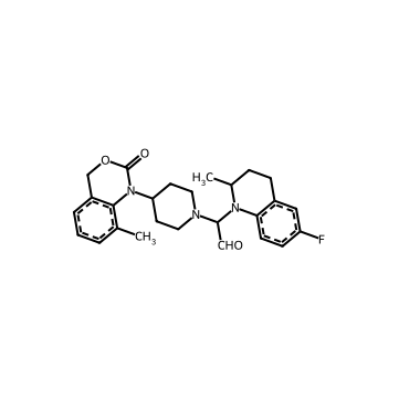 Cc1cccc2c1N(C1CCN(C(C=O)N3c4ccc(F)cc4CCC3C)CC1)C(=O)OC2